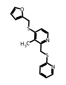 Cc1c(SCc2ccco2)ccnc1CSc1ccccn1